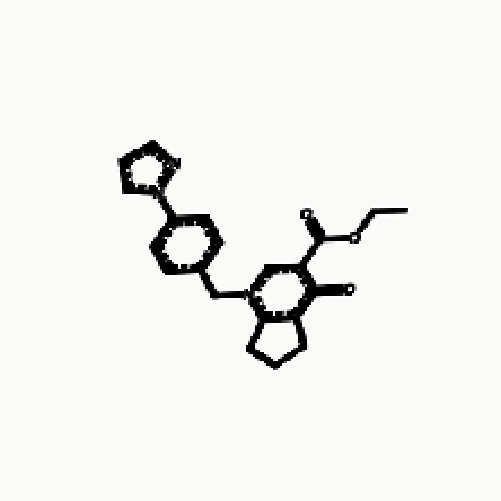 CCOC(=O)c1cn(Cc2ccc(-n3cccn3)cc2)c2c(c1=O)CCC2